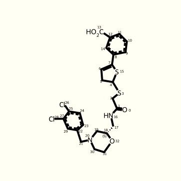 O=C(CSC1CC=C(c2cccc(C(=O)O)c2)S1)NC[C@H]1CN(Cc2ccc(Cl)c(Cl)c2)CCO1